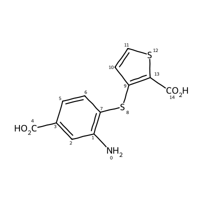 Nc1cc(C(=O)O)ccc1Sc1ccsc1C(=O)O